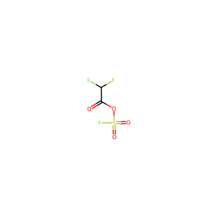 O=C(OS(=O)(=O)F)C(F)F